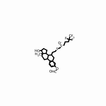 CC12CCC3c4ccc(OC=O)cc4CC(CCSC[S+]([O-])CCCC(F)(F)C(F)(F)F)C3C1CCC2O